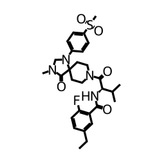 CCc1ccc(F)c(C(=O)N[C@@H](C(=O)N2CCC3(CC2)C(=O)N(C)CN3c2ccc(S(C)(=O)=O)cc2)C(C)C)c1